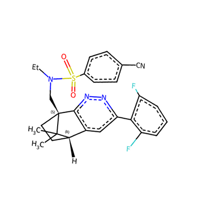 CCN(C[C@@]12CC[C@@H](c3cc(-c4c(F)cccc4F)nnc31)C2(C)C)S(=O)(=O)c1ccc(C#N)cc1